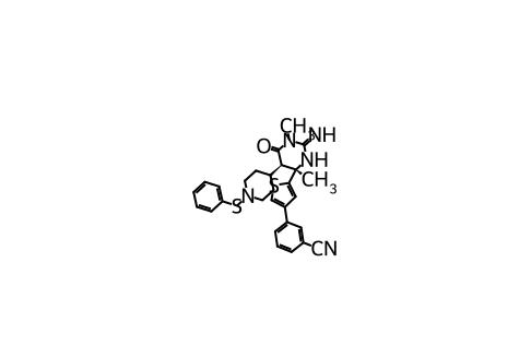 CN1C(=N)N[C@](C)(c2cc(-c3cccc(C#N)c3)cs2)[C@@H](C2CCN(Sc3ccccc3)CC2)C1=O